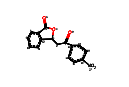 O=C(CC1OC(=O)c2ccccc21)c1ccc([N+](=O)[O-])cc1